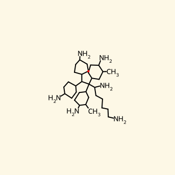 CC1CC(C(C(N)CCCCCN)(C2CCC(N)C(C)C2)C(C2CCC(N)CC2)C2CCC(N)CC2)CCC1N